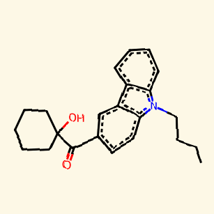 CCCCn1c2ccccc2c2cc(C(=O)C3(O)CCCCC3)ccc21